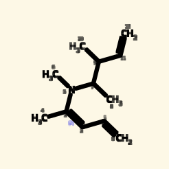 C=C/C=C(/C)N(C)C(C)C(C)C=C